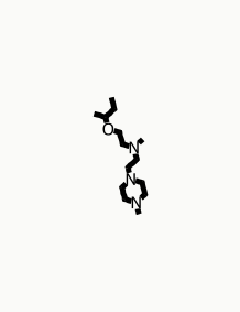 CCC(C)OCCN(C)CCN1CCN(C)CC1